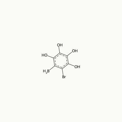 Bc1c(O)c(O)c(O)c(O)c1Br